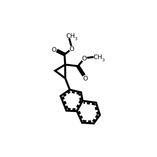 COC(=O)C1(C(=O)OC)CC1c1ccc2ccccc2c1